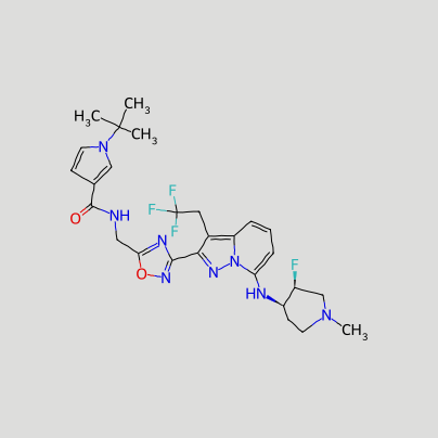 CN1CC[C@@H](Nc2cccc3c(CC(F)(F)F)c(-c4noc(CNC(=O)c5ccn(C(C)(C)C)c5)n4)nn23)[C@@H](F)C1